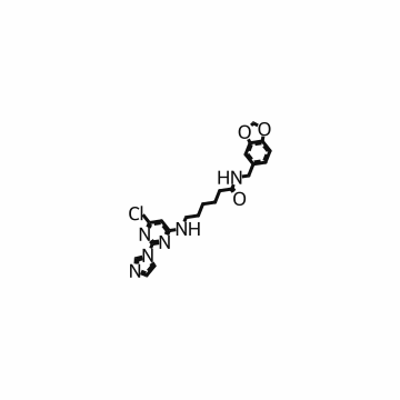 O=C(CCCCCNc1cc(Cl)nc(-n2ccnc2)n1)NCc1ccc2c(c1)OCO2